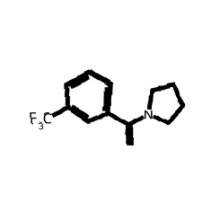 C=C(c1cccc(C(F)(F)F)c1)N1CCCC1